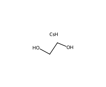 OCCO.[CsH]